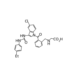 CCc1ccc(NC(=O)Nc2cn(C(=O)c3ccccc3CNCC(=O)O)c3ccc(Cl)cc23)cc1